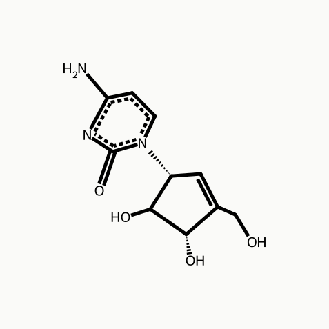 Nc1ccn([C@@H]2C=C(CO)[C@H](O)C2O)c(=O)n1